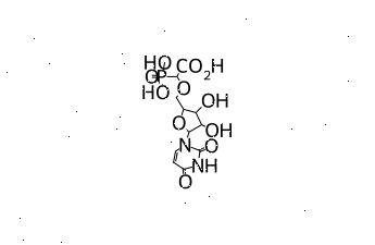 O=C(O)C(OCC1OC(n2ccc(=O)[nH]c2=O)C(O)C1O)P(=O)(O)O